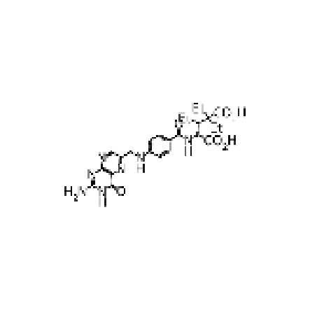 CCC([C@H](NC(=O)c1ccc(NCc2cnc3nc(N)[nH]c(=O)c3n2)cc1)C(=O)O)C(CC)(CC)C(=O)O